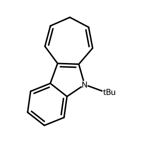 CC(C)(C)n1c2c(c3ccccc31)C=CCC=C2